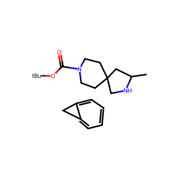 CC1CC2(CCN(C(=O)OC(C)(C)C)CC2)CN1.c1ccc2c(c1)C2